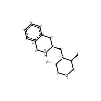 C[C@H]1COC[C@H](C)N1C[C@@H]1Cc2ccccc2CN1